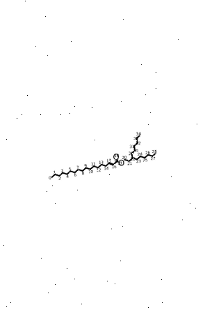 CCCCCCCCCCCCCCCC=CC(=O)OCCC(CCCCCC)CCCCCC